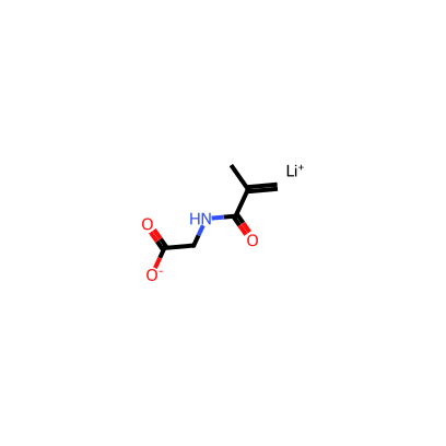 C=C(C)C(=O)NCC(=O)[O-].[Li+]